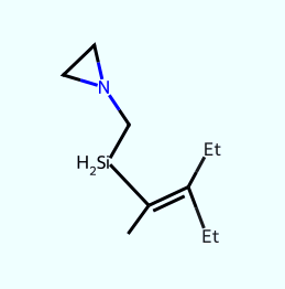 CCC(CC)=C(C)[SiH2]CN1CC1